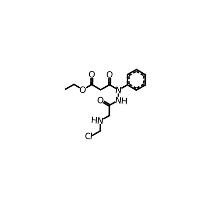 CCOC(=O)CC(=O)N(NC(=O)CNCCl)c1ccccc1